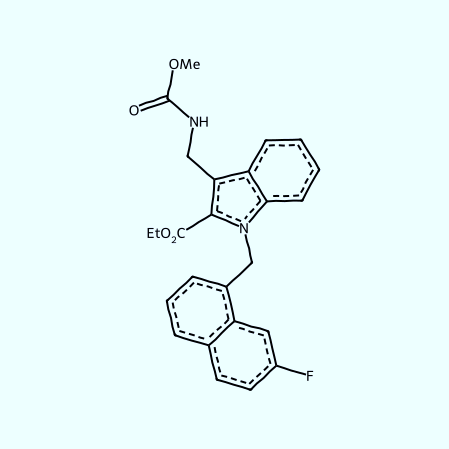 CCOC(=O)c1c(CNC(=O)OC)c2ccccc2n1Cc1cccc2ccc(F)cc12